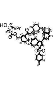 Cc1ccc(S(=O)(=O)n2cc(-c3ncc(F)c(N[C@H]4CCC[C@@H](NC(=O)c5cc(COC(=O)N(C)[C@@H](C(=O)O)C(C)C)ccn5)C4)n3)c3cc(F)cnc32)cc1